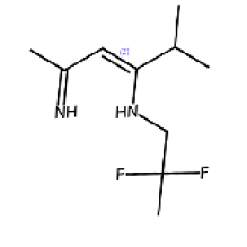 CC(=N)/C=C(\NCC(C)(F)F)C(C)C